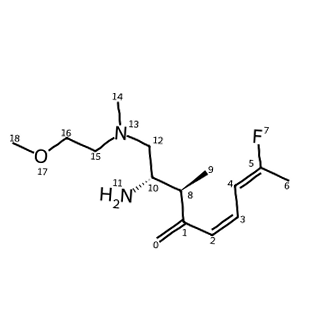 C=C(/C=C\C=C(/C)F)[C@H](C)[C@H](N)CN(C)CCOC